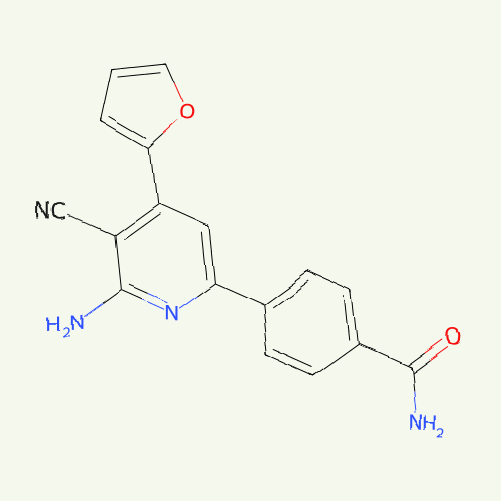 N#Cc1c(-c2ccco2)cc(-c2ccc(C(N)=O)cc2)nc1N